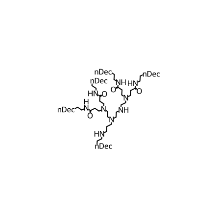 CCCCCCCCCCCCNCCCN(CCNCCN(CCC(=O)NCCCCCCCCCCCC)CCC(=O)NCCCCCCCCCCCC)CCN(CCC(=O)NCCCCCCCCCCCC)CCC(=O)NCCCCCCCCCCCC